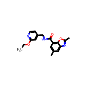 Cc1cc(C(=O)NCc2ccnc(OCC(F)(F)F)c2)c2oc(C)nc2c1